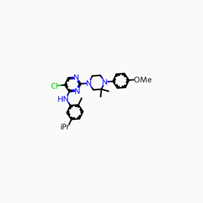 COc1ccc(N2CCN(c3ncc(Cl)c(Nc4cc(C(C)C)ccc4C)n3)CC2(C)C)cc1